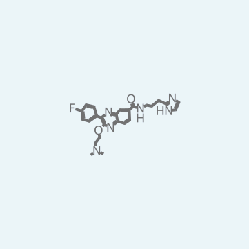 CN(C)CCOc1nc2ccc(C(=O)NCCCc3ncc[nH]3)cc2nc1-c1ccc(F)cc1